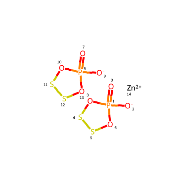 O=P1([O-])OSSO1.O=P1([O-])OSSO1.[Zn+2]